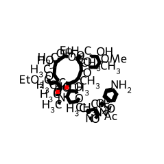 CC(=O)N(c1onc(C)c1C)S(=O)(=O)c1ccc(N)cc1.CCOC(=O)CCC(=O)O[C@@H]1[C@@H](O[C@@H]2[C@@H](C)[C@H](O[C@H]3C[C@@](C)(OC)[C@@H](O)[C@H](C)O3)[C@@H](C)C(=O)O[C@H](CC)[C@@](C)(O)[C@H](O)[C@@H](C)C(=O)[C@H](C)C[C@@]2(C)O)O[C@@H](C)C[C@H]1N(C)C